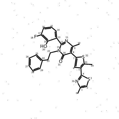 Cc1csc(-c2cc(-c3c(C)nc(-c4cccc(F)c4O)n(CCc4ccccc4)c3=O)sc2C)n1